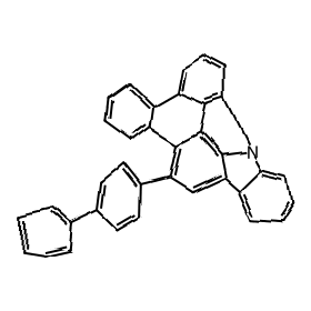 c1ccc(-c2ccc(-c3cc4c5ccccc5n5c6cccc7c8ccccc8c3c(c76)c45)cc2)cc1